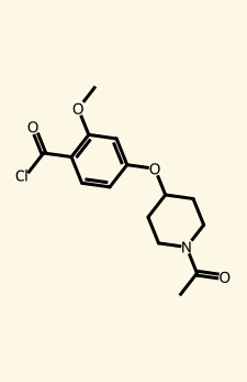 COc1cc(OC2CCN(C(C)=O)CC2)ccc1C(=O)Cl